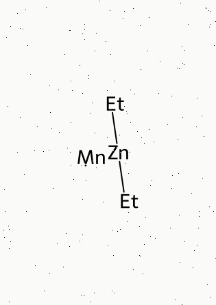 C[CH2][Zn][CH2]C.[Mn]